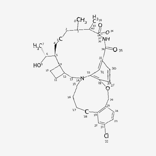 CC1CCC[C@H]([C@@H](C)O)C2CCC2CN2CCCCc3cc(Cl)ccc3COc3ccc(cc32)C(=O)NS(=O)(=O)C1C